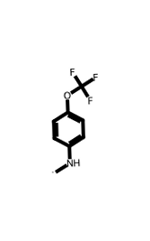 [CH2]Nc1ccc(OC(F)(F)F)cc1